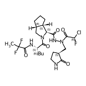 CC[C@@H](C)[C@H](NC(=O)C(C)(F)F)C(=O)N1C[C@@H]2CCC[C@@H]2[C@H]1C(=O)NN(C[C@@H]1CCNC1=O)C(=O)[C@H](F)Cl